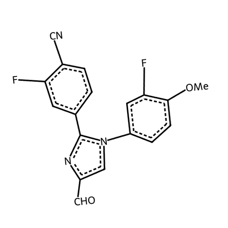 COc1ccc(-n2cc(C=O)nc2-c2ccc(C#N)c(F)c2)cc1F